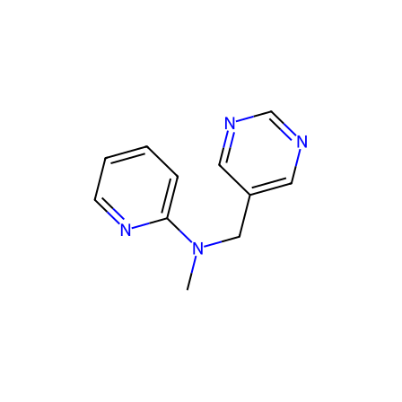 CN(Cc1cncnc1)c1ccccn1